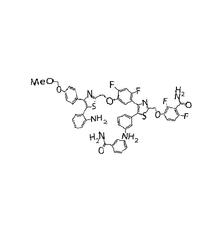 COCOc1ccc(-c2nc(COc3cc(-c4nc(COc5ccc(F)c(C(N)=O)c5F)sc4-c4cccc(N)c4)c(F)cc3F)sc2-c2ccccc2N)cc1.NC(=O)c1ccccc1